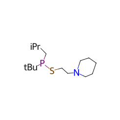 CC(C)CP(SCCN1CCCCC1)C(C)(C)C